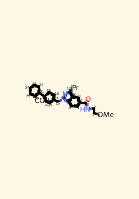 COCCNC(=O)c1ccc2c(c1)c(C(C)C)nn2Cc1ccc(-c2ccccc2C(=O)O)cc1